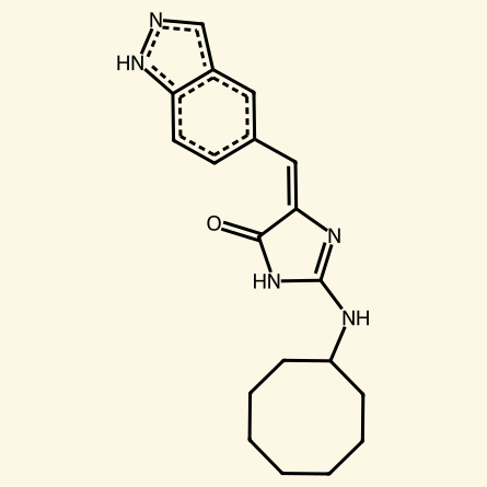 O=C1NC(NC2CCCCCCC2)=NC1=Cc1ccc2[nH]ncc2c1